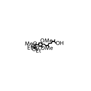 CCOP(=O)(OCC)C(OC)c1cc(OC)c(CC=C(C)CCC=C(C)CO)c(OC)c1